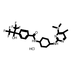 Cc1cnc(NC2CCC(NC(=O)c3ccc(C(O)(C(F)(F)F)C(F)(F)F)cc3)CC2)nc1N(C)C.Cl